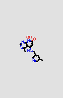 Cc1cncc(CNc2cc(=O)n(O)c3ncnc(C)c23)c1